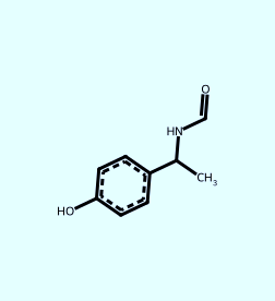 CC(NC=O)c1ccc(O)cc1